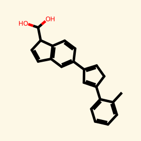 Cc1ccccc1C1=CC(c2ccc3c(c2)C=CC3C(O)O)=CC1